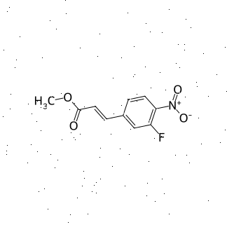 COC(=O)/C=C/c1ccc([N+](=O)[O-])c(F)c1